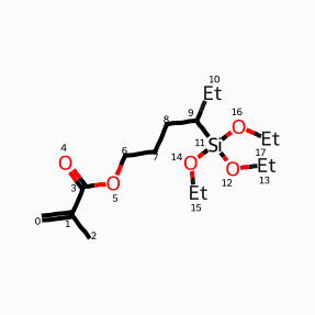 C=C(C)C(=O)OCCCC(CC)[Si](OCC)(OCC)OCC